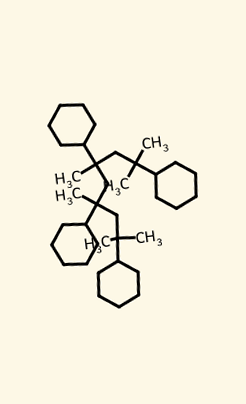 CC(C)(CC(C)(CC(C)(CC(C)(C)C1CCCCC1)C1CCCCC1)C1CCCCC1)C1CCCCC1